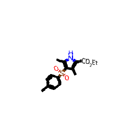 CCOC(=O)c1[nH]c(C)c(S(=O)(=O)c2ccc(C)cc2)c1C